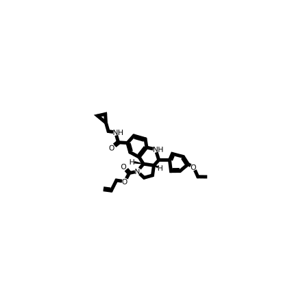 C=CCOC(=O)N1CC[C@H]2C(c3ccc(OCC)cc3)Nc3ccc(C(=O)NCC4CC4)cc3[C@H]21